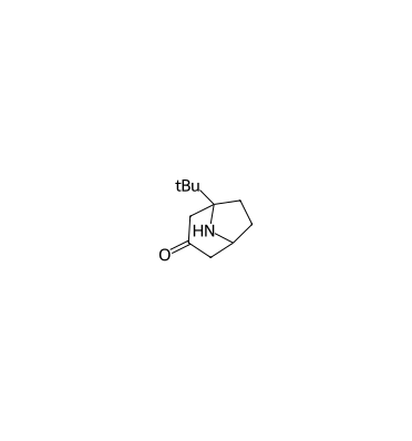 CC(C)(C)C12CCC(CC(=O)C1)N2